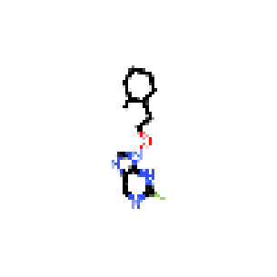 CC1CCCCC1CCOn1cnc2cnc(F)nc21